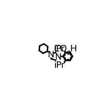 CC(C)c1cccc(C(C)C)c1N1CCN(C2CCCCC2)C1C(=O)O